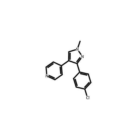 Cn1cc(-c2ccncc2)c(-c2ccc(Cl)cc2)n1